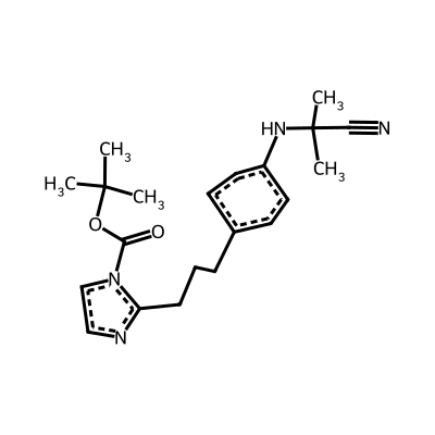 CC(C)(C#N)Nc1ccc(CCCc2nccn2C(=O)OC(C)(C)C)cc1